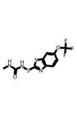 CNC(=O)NSc1nc2ccc(OC(F)(F)F)cc2s1